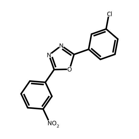 O=[N+]([O-])c1cccc(-c2nnc(-c3cccc(Cl)c3)o2)c1